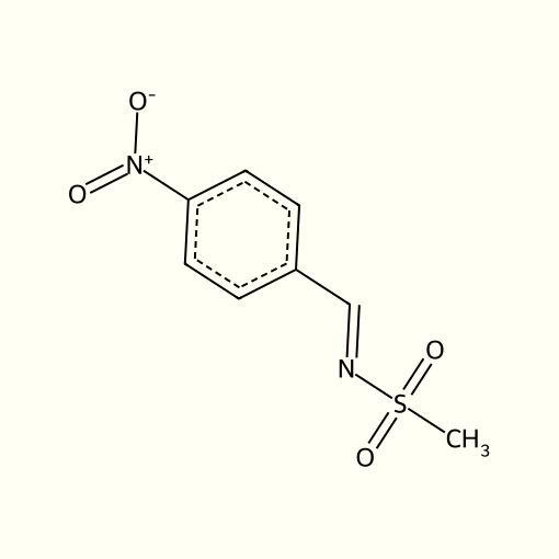 CS(=O)(=O)/N=C/c1ccc([N+](=O)[O-])cc1